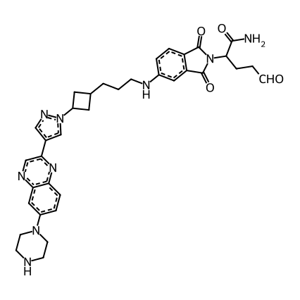 NC(=O)C(CCC=O)N1C(=O)c2ccc(NCCCC3CC(n4cc(-c5cnc6cc(N7CCNCC7)ccc6n5)cn4)C3)cc2C1=O